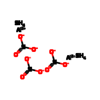 O=[Si]([O-])[O-].O=[Si]([O-])[O-].O=[Si]([O-])[O-].[Al+3].[Al+3].[SiH4].[SiH4]